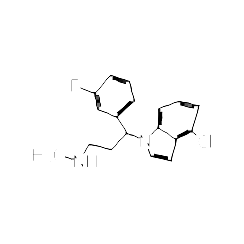 CNCCC(c1cccc(F)c1)n1ccc2c(Cl)cccc21